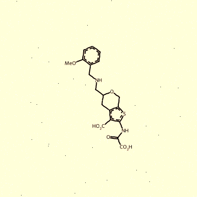 COc1ccccc1CNCC1Cc2c(sc(NC(=O)C(=O)O)c2C(=O)O)CO1